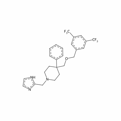 FC(F)(F)c1cc(COCC2(c3ccccc3)CCN(Cc3ncc[nH]3)CC2)cc(C(F)(F)F)c1